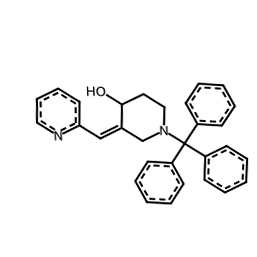 OC1CCN(C(c2ccccc2)(c2ccccc2)c2ccccc2)CC1=Cc1ccccn1